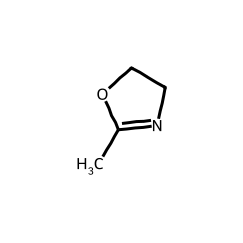 CC1=NCCO1